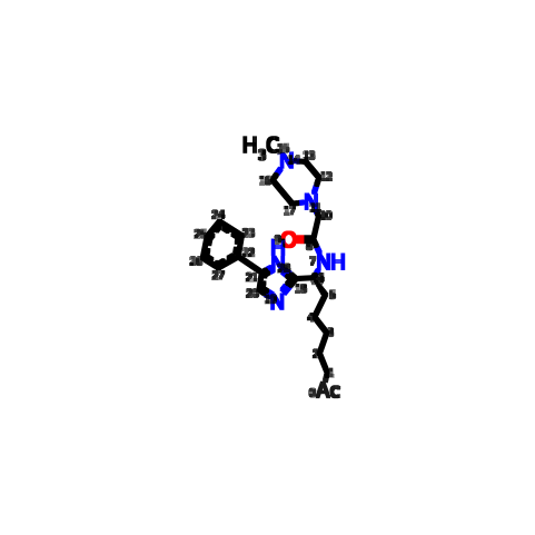 CC(=O)CCCCC[C@H](NC(=O)CN1CCN(C)CC1)c1ncc(-c2ccccc2)[nH]1